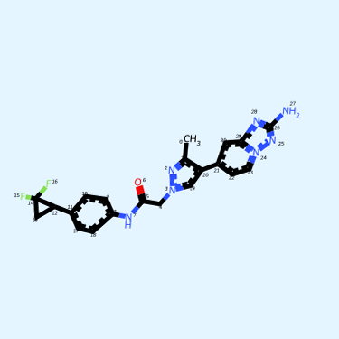 Cc1nn(CC(=O)Nc2ccc(C3CC3(F)F)cc2)cc1-c1ccn2nc(N)nc2c1